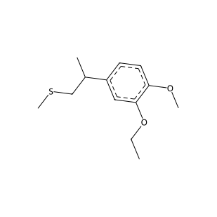 CCOc1cc(C(C)CSC)ccc1OC